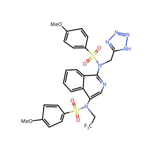 COc1ccc(S(=O)(=O)N(CC(F)(F)F)c2cnc(N(Cc3nnn[nH]3)S(=O)(=O)c3ccc(OC)cc3)c3ccccc23)cc1